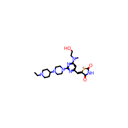 CCN1CCC(N2CCN(c3nc(/C=C4\SC(=O)NC4=O)cc(N(C)CCO)n3)CC2)CC1